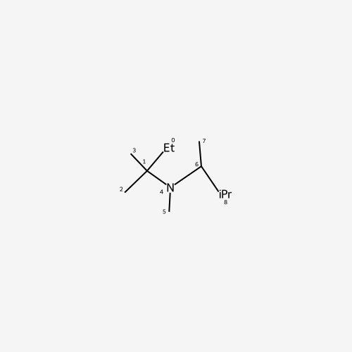 CCC(C)(C)N(C)C(C)C(C)C